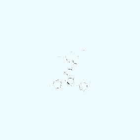 CCCCCN(CC(=O)Nc1cc(-c2ccccc2)nn1-c1ccccc1)C(=O)C1CCCC1